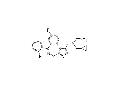 CCN(Cc1nnc2n1-c1ccc(F)cc1C(c1ccccc1F)=NC2)CC1CC1